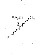 CCCCCCOB(OCCCCCC)OCCN(C)C